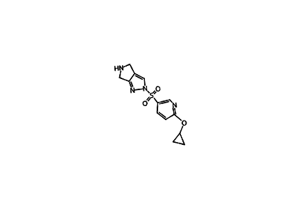 O=S(=O)(c1ccc(OC2CC2)nc1)n1cc2c(n1)CNC2